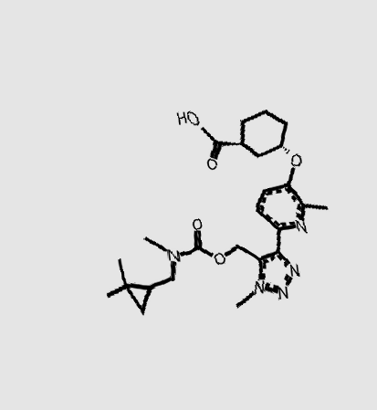 Cc1nc(-c2nnn(C)c2COC(=O)N(C)CC2CC2(C)C)ccc1O[C@H]1CCC[C@H](C(=O)O)C1